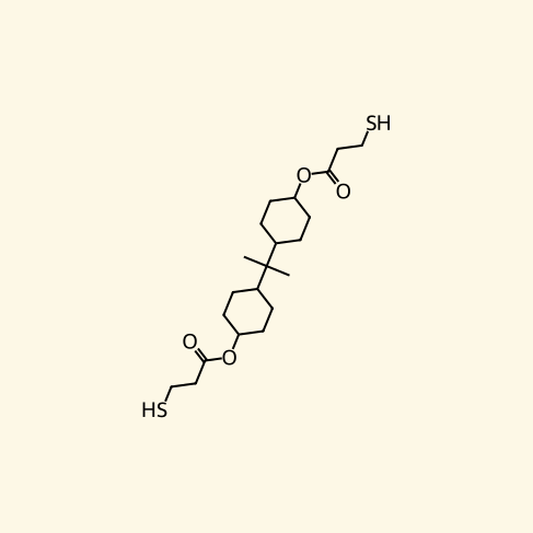 CC(C)(C1CCC(OC(=O)CCS)CC1)C1CCC(OC(=O)CCS)CC1